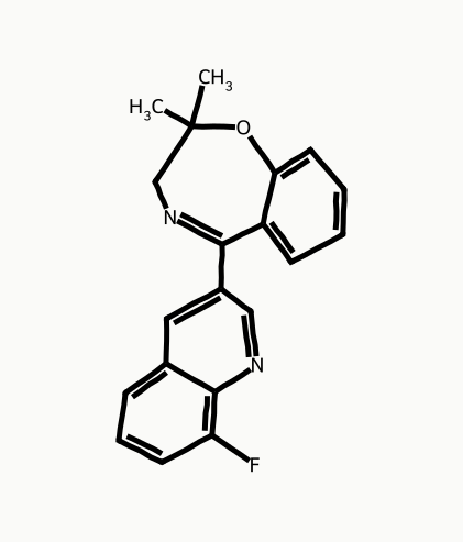 CC1(C)CN=C(c2cnc3c(F)cccc3c2)c2ccccc2O1